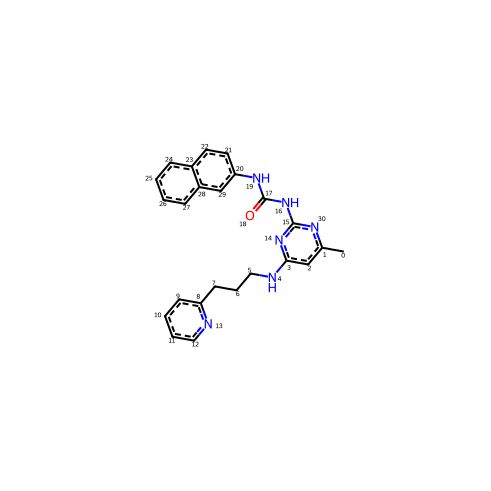 Cc1cc(NCCCc2ccccn2)nc(NC(=O)Nc2ccc3ccccc3c2)n1